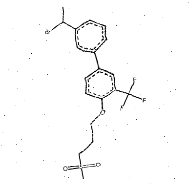 CC(Br)c1cccc(-c2ccc(OCCCS(C)(=O)=O)c(C(F)(F)F)c2)c1